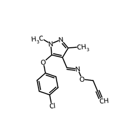 C#CCON=Cc1c(C)nn(C)c1Oc1ccc(Cl)cc1